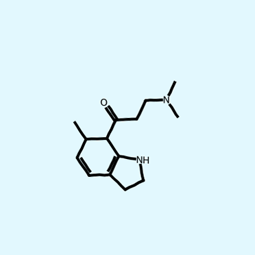 CC1C=CC2=C(NCC2)C1C(=O)CCN(C)C